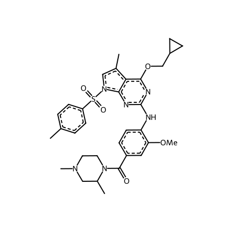 COc1cc(C(=O)N2CCN(C)CC2C)ccc1Nc1nc(OCC2CC2)c2c(C)cn(S(=O)(=O)c3ccc(C)cc3)c2n1